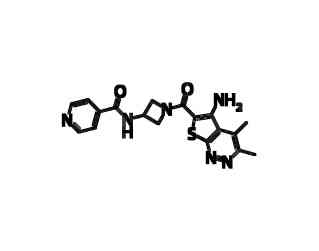 Cc1nnc2sc(C(=O)N3CC(NC(=O)c4ccncc4)C3)c(N)c2c1C